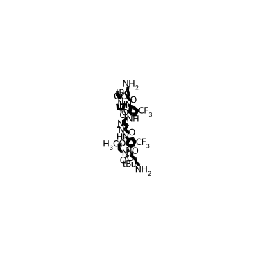 C[C@H]1CCN(C(=O)OC(C)(C)C)N(C(=O)CCCCN)c2cc(C(F)(F)F)cc(NC(=O)c3cc(C(=O)Nc4cc(C(F)(F)F)cc(NC(=O)CCCCN)c4O[C@@H]4CCN(C(=O)OC(C)(C)C)C4)ncn3)c2O1